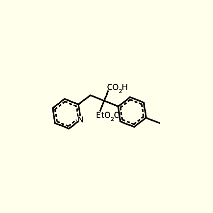 CCOC(=O)C(Cc1ccccn1)(C(=O)O)c1ccc(C)cc1